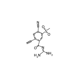 C#Cc1cc(C#N)c(S(C)(=O)=O)cc1C(=O)N=C(N)N